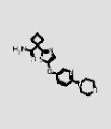 NC(=O)C1(c2ncc(Oc3ccc(N4CCOCC4)nc3)s2)CCC1